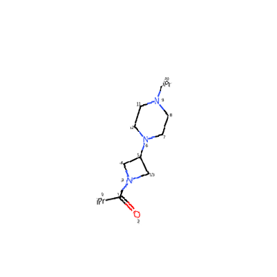 CC(C)C(=O)N1CC(N2CCN(C(C)C)CC2)C1